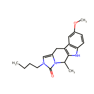 CCCCn1cc2n(c1=O)C(C)c1[nH]c3ccc(OC)cc3c1C2